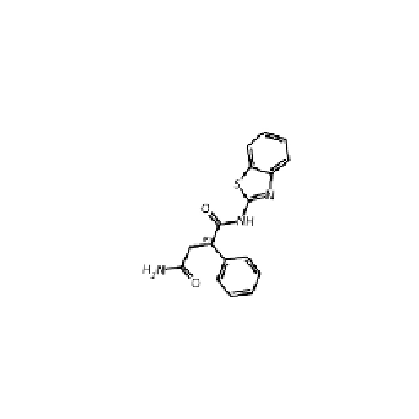 NC(=O)C[C@@H](C(=O)Nc1nc2ccccc2s1)c1ccccc1